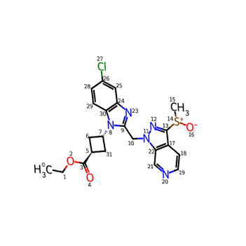 CCOC(=O)[C@H]1C[C@H](n2c(Cn3nc([S+](C)[O-])c4ccncc43)nc3cc(Cl)ccc32)C1